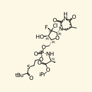 Cc1cn([C@@H]2O[C@H](CO[P@@](=O)(N[C@@H](C)C(=O)OC(C)C)OCCSC(=O)C(C)(C)C)[C@@H](O)[C@]2(F)Cl)c(=O)[nH]c1=O